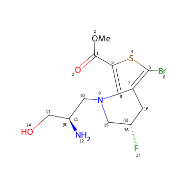 COC(=O)c1sc(Br)c2c1N(C[C@@H](N)CO)C[C@@H](F)C2